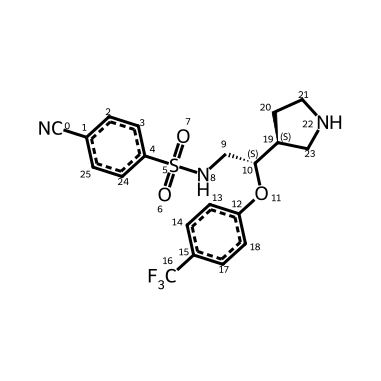 N#Cc1ccc(S(=O)(=O)NC[C@@H](Oc2ccc(C(F)(F)F)cc2)[C@H]2CCNC2)cc1